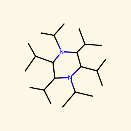 CC(C)C1C(C(C)C)N(C(C)C)C(C(C)C)C(C(C)C)N1C(C)C